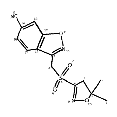 CC1(C)CC(S(=O)(=O)Cc2noc3cc(C#N)ccc23)=NO1